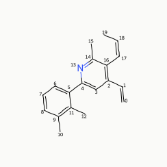 C=Cc1cc(-c2cccc(C)c2C)nc(C)c1/C=C\C